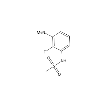 CNc1cccc(NS(C)(=O)=O)c1F